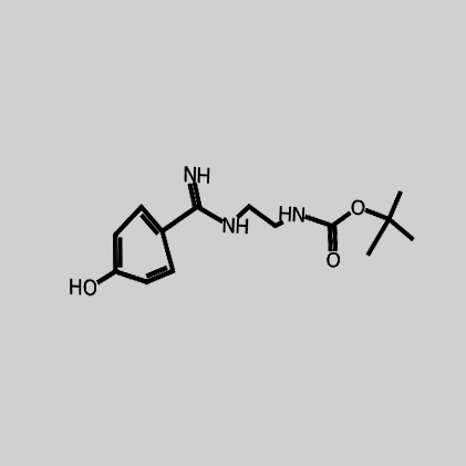 CC(C)(C)OC(=O)NCCNC(=N)c1ccc(O)cc1